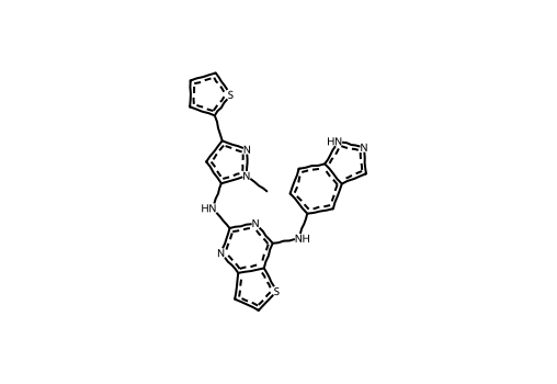 Cn1nc(-c2cccs2)cc1Nc1nc(Nc2ccc3[nH]ncc3c2)c2sccc2n1